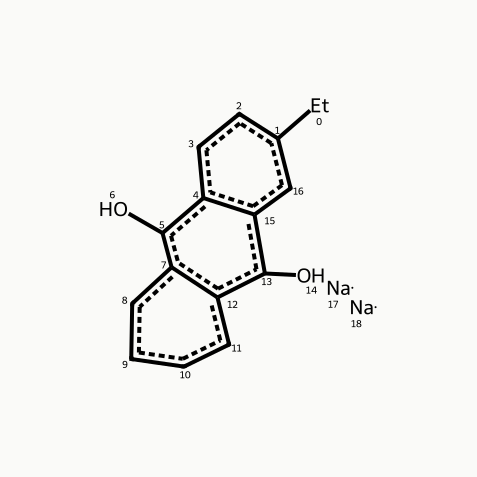 CCc1ccc2c(O)c3ccccc3c(O)c2c1.[Na].[Na]